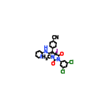 CN1C(=O)N(c2cc(Cl)cc(Cl)c2)C(=O)[C@@]1(I)[C@@H](CNc1ccccn1)c1ccc(C#N)cc1